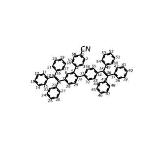 N#Cc1ccc(-c2cc(C(=C(c3ccccc3)c3ccccc3)c3ccccc3)ccc2-c2ccc(C(=C(c3ccccc3)c3ccccc3)c3ccccc3)cc2)cc1